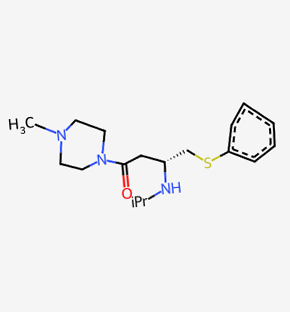 CC(C)N[C@@H](CSc1ccccc1)CC(=O)N1CCN(C)CC1